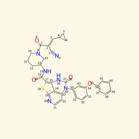 N#CC(=CC1CC1)C(=O)N1CCCC(NC(=O)c2sc3nccc4c3c2NC(=O)N4c2cccc(Oc3ccccc3)c2)C1